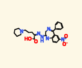 O=C(O)C(CCCN1CCCCC1)=NNC1=Nc2ccc([N+](=O)[O-])cc2C(c2ccccc2)=NC1